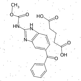 COC(=O)Nc1nc2cc(C(=O)c3ccccc3)ccc2[nH]1.O=C(O)CCCC(=O)O